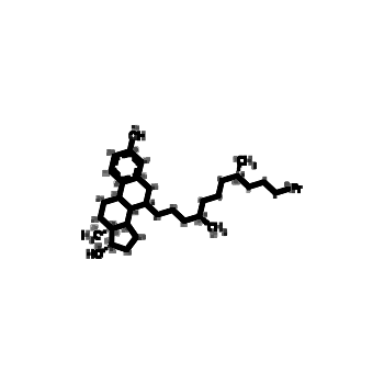 CC(C)CCC[C@@H](C)CCC[C@@H](C)CCCC1Cc2cc(O)ccc2C2CC[C@@]3(C)C(CC[C@@H]3O)C12